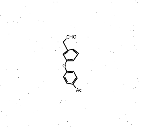 CC(=O)c1ccc(Oc2cccc(CC=O)c2)cc1